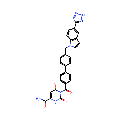 NC(=O)c1cc(=O)n(C(=O)c2ccc(-c3ccc(Cn4ccc5cc(-c6nn[nH]n6)ccc54)cc3)cc2)c(=O)[nH]1